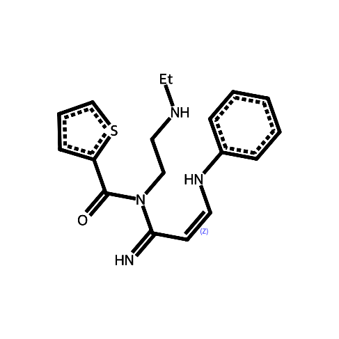 CCNCCN(C(=N)/C=C\Nc1ccccc1)C(=O)c1cccs1